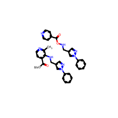 COC(=O)c1ccnc(C)c1NCc1cnn(-c2ccccc2)c1.O=C(ONCc1cnn(-c2ccccc2)c1)c1ccncc1